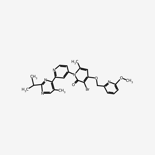 COc1cccc(COc2cc(C)n(-c3ccnc(-c4nc(C(C)C)ncc4C)c3)c(=O)c2Br)n1